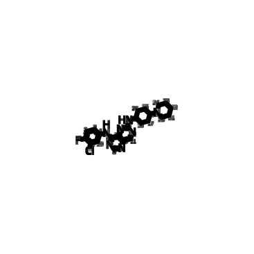 Fc1ccc(Nc2ncnc3cnc(NC4CCC(N5CCCCC5)CC4)nc23)cc1Cl